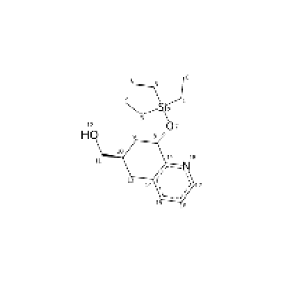 CC[Si](CC)(CC)O[C@H]1C[C@H](CO)Cc2cccnc21